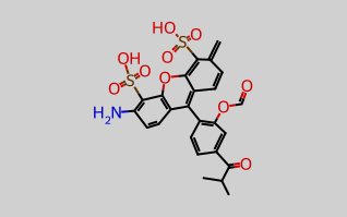 C=c1ccc2c(c1S(=O)(=O)O)Oc1c(ccc(N)c1S(=O)(=O)O)C=2c1ccc(C(=O)C(C)C)cc1OC=O